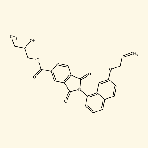 C=CCOc1ccc2cccc(N3C(=O)c4ccc(C(=O)OCC(O)CC)cc4C3=O)c2c1